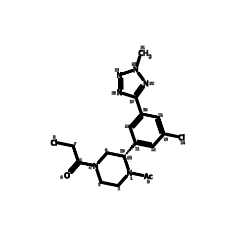 CC(=O)N1CCN(C(=O)CCl)C[C@@H]1c1cc(Cl)cc(-c2nnn(C)n2)c1